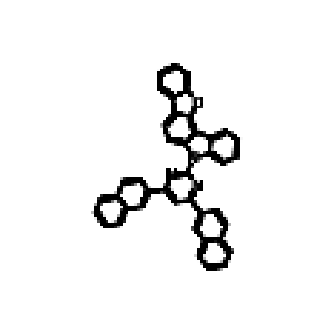 c1ccc2cc(-c3cc(-c4ccc5ccccc5c4)nc(-n4c5ccccc5c5c6oc7ccccc7c6ccc54)n3)ccc2c1